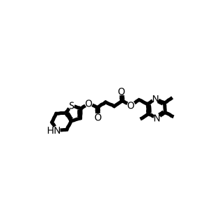 Cc1nc(C)c(COC(=O)CCC(=O)Oc2cc3c(s2)CCNC3)nc1C